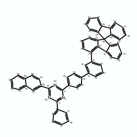 c1ccc(-c2nc(-c3ccc(-c4cccc(-c5cccc6c5-c5ccccc5C65c6ccccc6-c6ccccc65)c4)cc3)nc(-c3ccc4ccccc4c3)n2)cc1